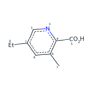 CCc1cnc(C(=O)O)c(C)c1